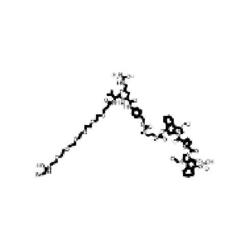 CC(C)C(NC(=O)CCOCCOCCOCCOCCOCCOCCNC(O)CBr)C(=O)NC(CCCNC(N)O)C(=O)Nc1ccc(COC(=O)N(C)CCN(C)C(=O)Oc2cc3c(c4ccccc24)[C@H](CCl)CN3C(=O)c2ccc(C(=O)N3C[C@@H](CCl)c4c3cc(OP(=O)(O)O)c3ccccc43)s2)cc1